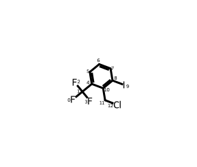 FC(F)(F)c1cccc(I)c1CCl